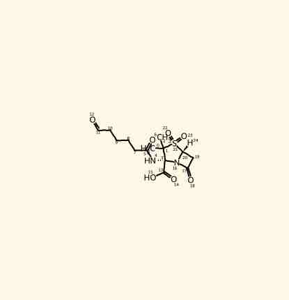 CC1(C)[C@](NC(=O)CCCCC=O)(C(=O)O)N2C(=O)C[C@H]2S1(=O)=O